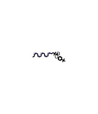 CC/C=C\C/C=C\C/C=C\C/C=C\C/C=C\CCC(C)(C)C(=O)Oc1ccc(C(C)(C)C)cc1